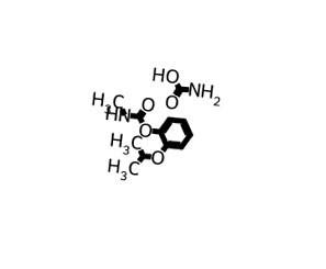 CNC(=O)Oc1ccccc1OC(C)C.NC(=O)O